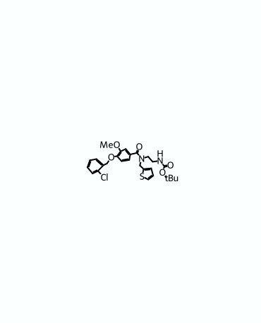 COc1cc(C(=O)N(CCNC(=O)OC(C)(C)C)Cc2cccs2)ccc1OCc1ccccc1Cl